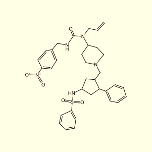 C=CCN(C(=O)NCc1ccc([N+](=O)[O-])cc1)C1CCN(CC2CC(NS(=O)(=O)c3ccccc3)CC2c2ccccc2)CC1